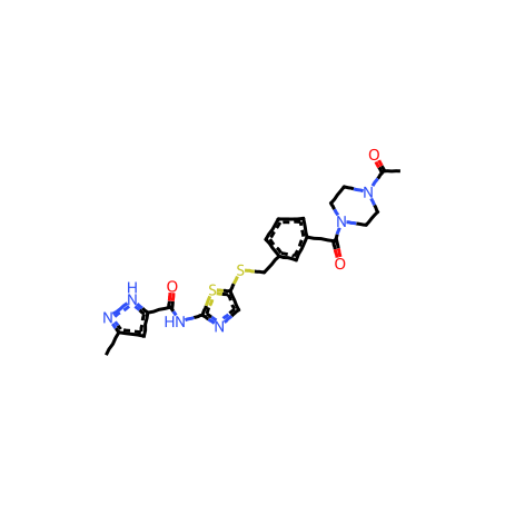 CC(=O)N1CCN(C(=O)c2cccc(CSc3cnc(NC(=O)c4cc(C)n[nH]4)s3)c2)CC1